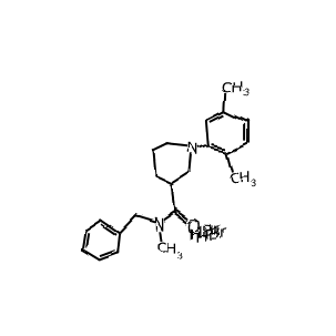 Br.Br.Cc1ccc(C)c(N2CCCC(C(=O)N(C)Cc3ccccc3)C2)c1